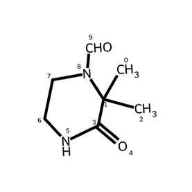 CC1(C)C(=O)NCCN1C=O